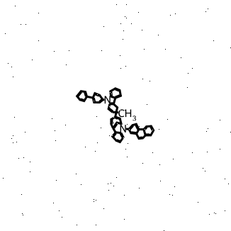 CC1(C2=CC3C=C(C=C2)c2ccccc2N3c2ccc3c(ccc4ccccc43)c2)C=Cc2c(c3ccccc3n2-c2ccc(-c3ccccc3)cc2)C1